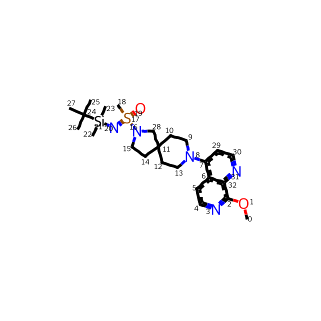 COc1nccc2c(N3CCC4(CC3)CCN(S(C)(=O)=N[Si](C)(C)C(C)(C)C)C4)ccnc12